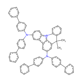 CC1(C)c2ccccc2-n2c3ccc(N(c4ccc(-c5ccccc5)cc4)c4ccc(-c5ccccc5)cc4)cc3c3cc(N(c4ccc(-c5ccccc5)cc4)c4ccc(-c5ccccc5)cc4)cc1c32